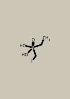 CCS(=O)(O)(O)CF